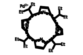 CCC(CC)c1c2nc(c(C(CC)CC)c3ccc([nH]3)c(C(CC)CC)c3nc(c(C(CC)CC)c4ccc1[nH]4)C=C3)C=C2.[Pd+2]